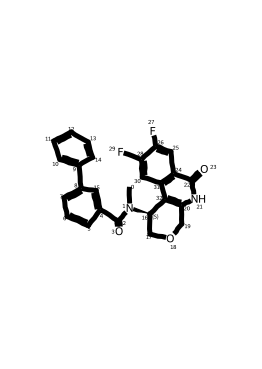 CN(C(=O)c1cccc(-c2ccccc2)c1)[C@@H]1COCc2[nH]c(=O)c3cc(F)c(F)cc3c21